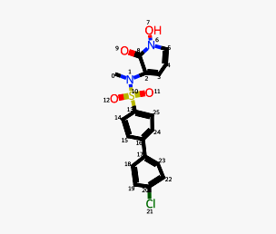 CN(c1cccn(O)c1=O)S(=O)(=O)c1ccc(-c2ccc(Cl)cc2)cc1